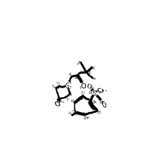 CC(C)(C)C(=O)C[S+]1CCC(=O)CC1.Cc1ccc(S(=O)(=O)[O-])cc1